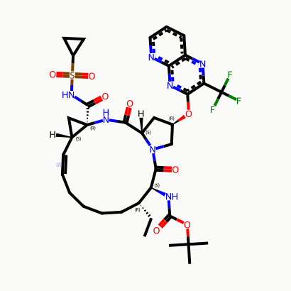 CC[C@@H]1CCCC/C=C\[C@@H]2C[C@@]2(C(=O)NS(=O)(=O)C2CC2)NC(=O)[C@@H]2C[C@@H](Oc3nc4ncccc4nc3C(F)(F)F)CN2C(=O)[C@H]1NC(=O)OC(C)(C)C